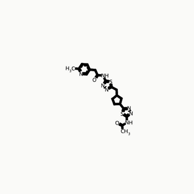 CC(=O)Nc1nnc(C2CCC(Cc3nnc(NC(=O)Cc4ccc(C)nc4)s3)C2)s1